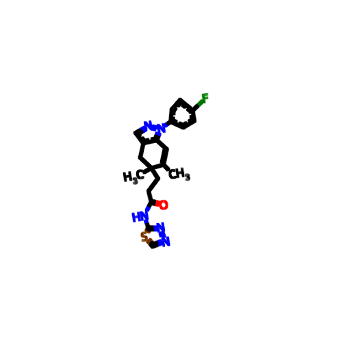 CC1=Cc2c(cnn2-c2ccc(F)cc2)CC1(C)CCC(=O)Nc1nncs1